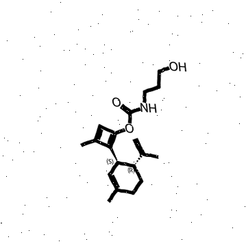 C=C(C)[C@@H]1CCC(C)=C[C@H]1C1=C(OC(=O)NCCCO)C=C1C